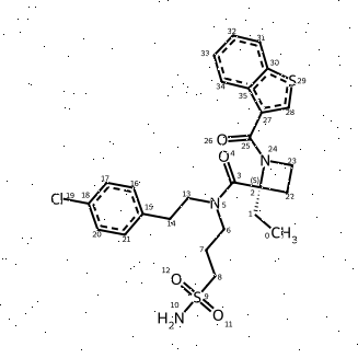 CC[C@@]1(C(=O)N(CCCS(N)(=O)=O)CCc2ccc(Cl)cc2)CCN1C(=O)c1csc2ccccc12